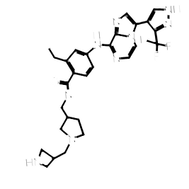 CCc1cc(Nc2nccn3c(-c4c[nH]nc4C(F)(F)F)cnc23)ccc1C(=O)NCC1CCN(CC2CNC2)C1